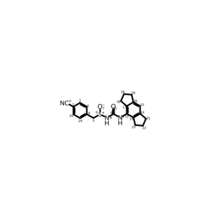 N#Cc1ccc(C[S+]([O-])NC(=O)Nc2c3c(cc4c2CCC4)CCC3)cc1